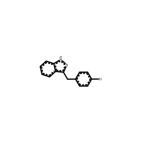 CCc1ccc(Cc2n[nH]c3ccc[c]c23)cc1